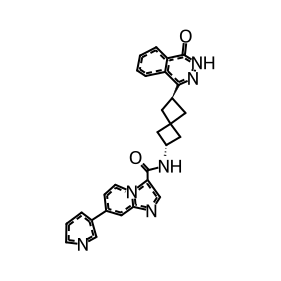 O=C(N[C@H]1CC2(C1)C[C@H](c1n[nH]c(=O)c3ccccc31)C2)c1cnc2cc(-c3cccnc3)ccn12